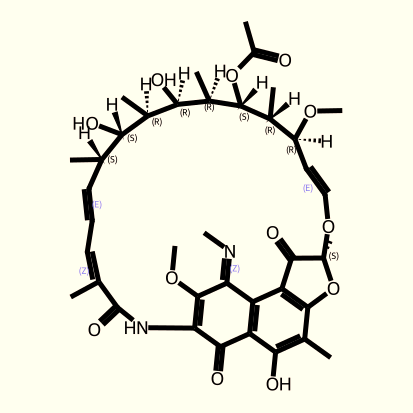 C/N=C1\C(OC)=C2NC(=O)/C(C)=C\C=C\[C@H](C)[C@H](O)[C@@H](C)[C@@H](O)[C@@H](C)[C@H](OC(C)=O)[C@H](C)[C@@H](OC)/C=C/O[C@@]3(C)Oc4c(C)c(O)c(c1c4C3=O)C2=O